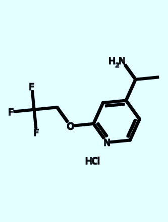 CC(N)c1ccnc(OCC(F)(F)F)c1.Cl